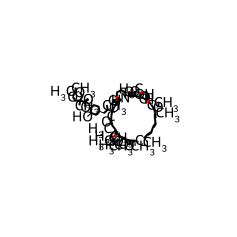 CO[C@H]1C[C@@H]2CC[C@@H](C)[C@@](O)(O2)C(=O)C(=O)N2CCCC[C@H]2C(=O)O[C@H](C(C)C[C@@H]2CC[C@@H](OC(=O)C3(C)COC(C)(C)OC3)[C@H](O)C2)CC(=O)[C@H](C)/C=C(\C)[C@@H](O[Si](C)(C)C)[C@@H](OC)C(=O)[C@H](C)C[C@H](C)/C=C/C=C/C=C/1C